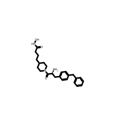 N[C@@H](Cc1ccc(Cc2ccccc2)cc1)C(=O)N1CCC(CCCC(=O)NO)CC1